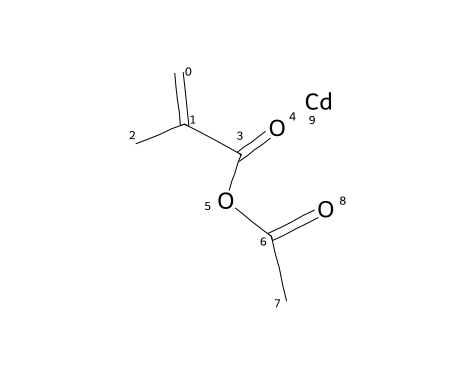 C=C(C)C(=O)OC(C)=O.[Cd]